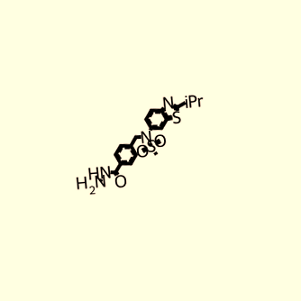 CC(C)c1nc2ccc(N(Cc3ccc(C(=O)NN)cc3)S(C)(=O)=O)cc2s1